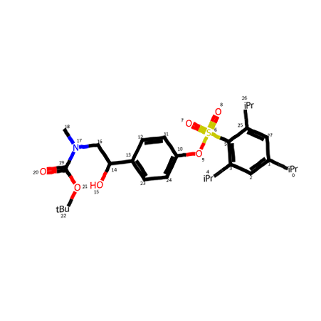 CC(C)c1cc(C(C)C)c(S(=O)(=O)Oc2ccc(C(O)CN(C)C(=O)OC(C)(C)C)cc2)c(C(C)C)c1